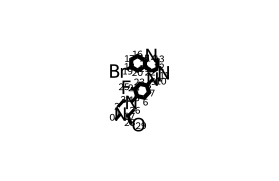 CN1CCN(c2ccc(-n3cnc4cnc5ccc(Br)cc5c43)cc2F)CC1C=O